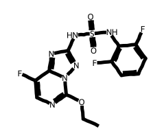 CCOc1ncc(F)c2nc(NS(=O)(=O)Nc3c(F)cccc3F)nn12